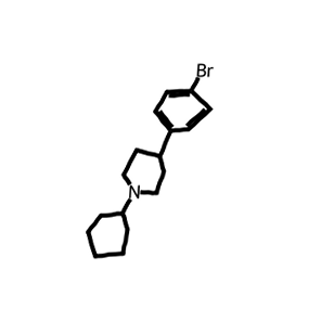 Brc1ccc(C2CCN(C3CCCCC3)CC2)cc1